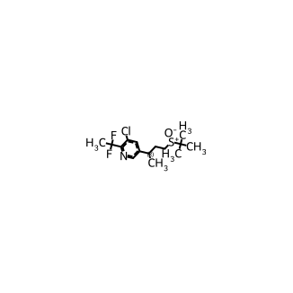 C[C@H](CC[S+]([O-])C(C)(C)C)c1cnc(C(C)(F)F)c(Cl)c1